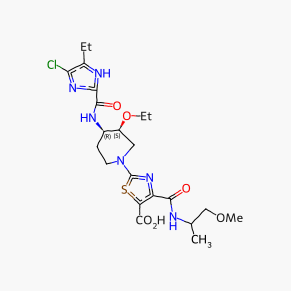 CCO[C@H]1CN(c2nc(C(=O)NC(C)COC)c(C(=O)O)s2)CC[C@H]1NC(=O)c1nc(Cl)c(CC)[nH]1